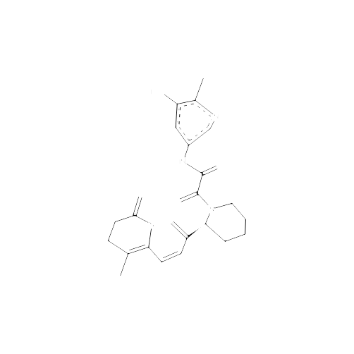 C=C(/C=C\C1=C(C)CCC(=O)N1)[C@@H]1CCCCN1C(=O)C(=O)Nc1cnc(C)c(C(F)(F)F)c1